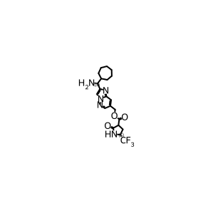 N[C@H](c1cn2ncc(COC(=O)C3C[C@@H](C(F)(F)F)NC3=O)cc2n1)C1CCCCCC1